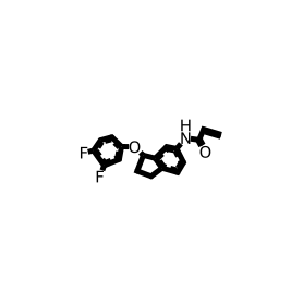 C=CC(=O)Nc1ccc2c(c1)C(Oc1ccc(F)c(F)c1)CC2